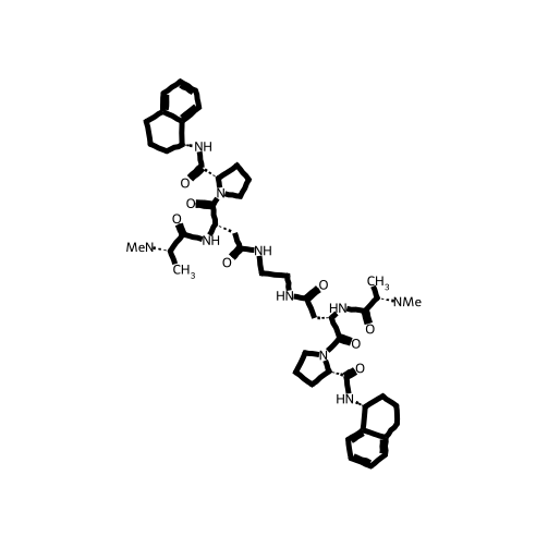 CN[C@@H](C)C(=O)N[C@@H](CC(=O)NCCNC(=O)C[C@H](NC(=O)[C@H](C)NC)C(=O)N1CCC[C@H]1C(=O)N[C@@H]1CCCc2ccccc21)C(=O)N1CCC[C@H]1C(=O)N[C@@H]1CCCc2ccccc21